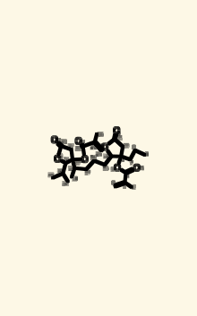 C=C(C)C(=O)OC1(CCC)CC(=O)OC1CCCC(C)C1(OC(=O)C(=C)C)CC(=O)OC1C(C)C